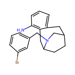 Nc1cccc2c1CC1CCC(C2)CN1Cc1cccc(Br)c1